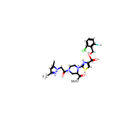 COC(=O)C1CN(C(=O)Cn2nc(C(F)(F)F)cc2C)CCN1c1nc(C(=O)OCc2c(F)cccc2Cl)cs1